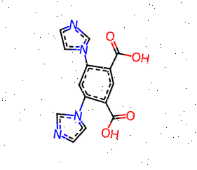 O=C(O)c1cc(C(=O)O)c(-n2ccnc2)cc1-n1ccnc1